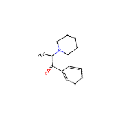 CC(C(=O)C1=C[C][C]C=C1)N1CCCCC1